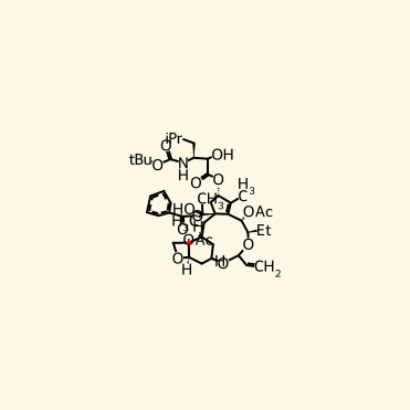 C=CC1O[C@@H]2C[C@H]([C@H](OC(=O)c3ccccc3)[C@]3(C(C)(C)O)C[C@H](OC(=O)C(O)[C@H](CC(C)C)NC(=O)OC(C)(C)C)C(C)=C3[C@H](OC(C)=O)[C@@H](CC)O1)[C@]1(OC(C)=O)CO[C@@H]1C2